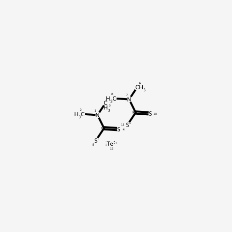 CN(C)C(=S)[S-].CN(C)C(=S)[S-].[Te+2]